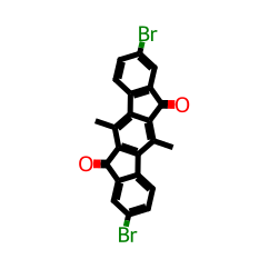 Cc1c2c(=O)c3cc(Br)ccc3c2c(C)c2c(=O)c3cc(Br)ccc3c12